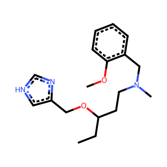 CCC(CCN(C)Cc1ccccc1OC)OCc1c[nH]cn1